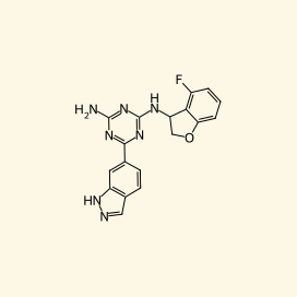 Nc1nc(NC2COc3cccc(F)c32)nc(-c2ccc3cn[nH]c3c2)n1